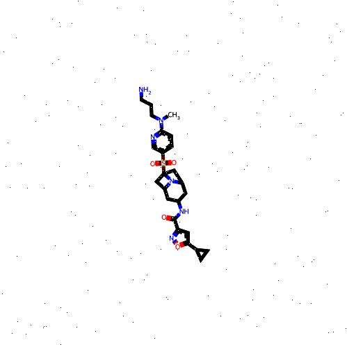 CN(CCCN)c1ccc(S(=O)(=O)C23CC4CC(NC(=O)c5cc(C6CC6)on5)CC(C2)N43)cn1